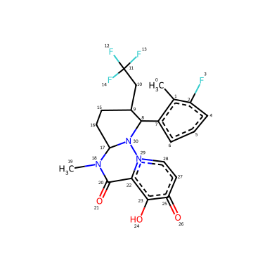 Cc1c(F)cccc1C1C(CC(F)(F)F)CCC2N(C)C(=O)c3c(O)c(=O)ccn3N12